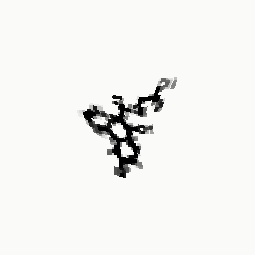 O=C(O)CNC(=O)c1c(O)c2ccc(Br)cc2c2ncnn12